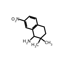 CC1(C)CCc2ccc([N+](=O)[O-])cc2C1N